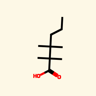 CCCC(C)(C)C(C)(C)C(=O)O